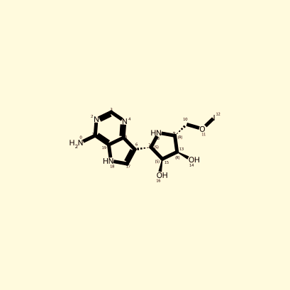 Nc1ncnc2c([C@@H]3N[C@H](COI)[C@@H](O)[C@H]3O)c[nH]c12